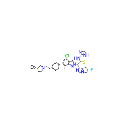 CCC1CCN(CCc2ccc(-c3cc(Cl)c4cn(C(C(=S)Nc5ncc[nH]5)c5ncn6c5C[C@@H](F)C6)nc4c3C)cc2)C1